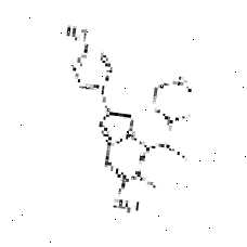 Cc1c(C(=O)O)cc2cc(-c3ccc(N)nc3)cn2c1C(C)N1CCOCC1